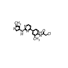 Cc1cc(-c2ccnc(Nc3cnn(C)c3)n2)ccc1NC(=O)CCl